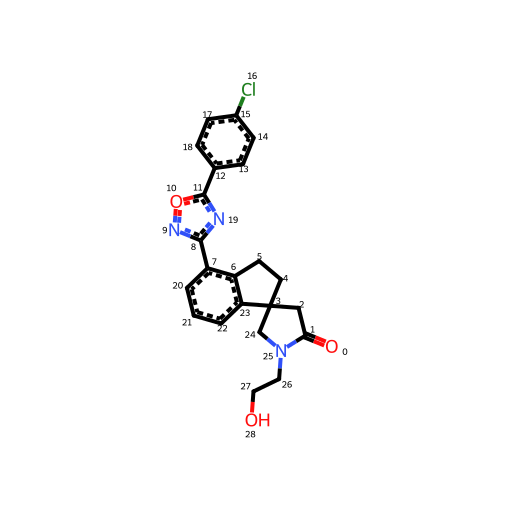 O=C1CC2(CCc3c(-c4noc(-c5ccc(Cl)cc5)n4)cccc32)CN1CCO